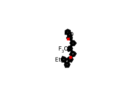 CCc1ccc2c(c1)c1ccccc1c1ccc(-c3cccc(-c4cc(-c5cccc(-c6ccc7c(c6)oc6ccccc67)c5)cc(C(F)(F)F)c4)c3)cc12